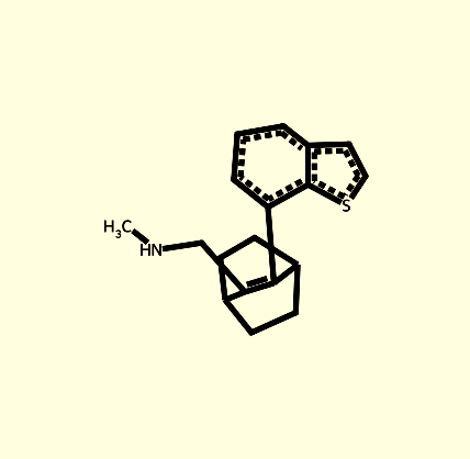 CNCC1=C(c2cccc3ccsc23)C2CCC1CC2